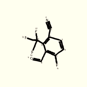 N#Cc1ccc(F)c(C=O)c1C(F)(F)F